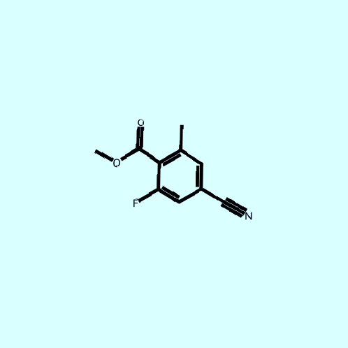 COC(=O)c1c(C)cc(C#N)cc1F